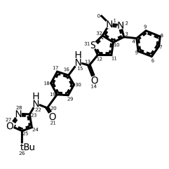 Cn1nc(-c2ccccc2)c2cc(C(=O)Nc3ccc(C(=O)Nc4cc(C(C)(C)C)on4)cc3)sc21